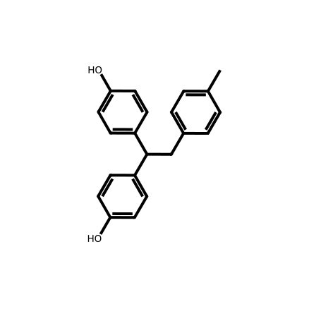 Cc1ccc(CC(c2ccc(O)cc2)c2ccc(O)cc2)cc1